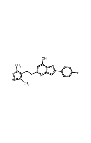 Cc1n[nH]c(C)c1CCc1cc(O)n2nc(-c3ccc(F)cc3)cc2n1